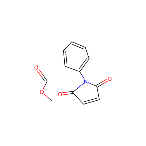 COC=O.O=C1C=CC(=O)N1c1ccccc1